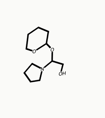 OCC(OC1CCCCO1)N1CCCC1